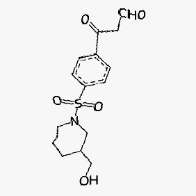 O=CCC(=O)c1ccc(S(=O)(=O)N2CCCC(CO)C2)cc1